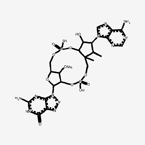 COC1C2COP(=O)(S)OC3C(O)C(n4cnc5c(N)ncnc54)C(C)C3(C)COP(=O)(O)OC1C(n1nnc3c(=O)[nH]c(N)nc31)O2